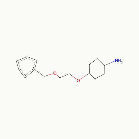 NC1CCC(OCCOCc2ccccc2)CC1